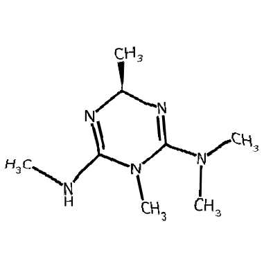 CNC1=N[C@@H](C)N=C(N(C)C)N1C